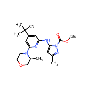 Cc1cc(Nc2cc(C(C)(C)C#N)cc(N3CCOC[C@H]3C)n2)n(C(=O)OC(C)(C)C)n1